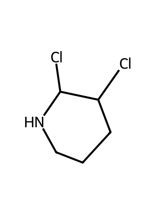 ClC1CCCNC1Cl